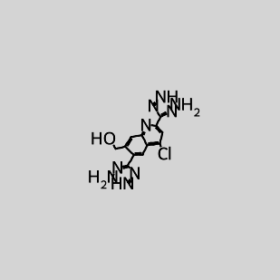 N=NC(=NN)c1cc(Cl)c2cc(C(N=N)=NN)c(CO)cc2n1